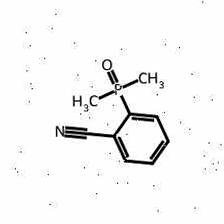 CP(C)(=O)c1ccccc1C#N